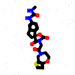 CNC(=O)Nc1ccc2c(c1)CC[C@]21OC(=O)N(CC(=O)N2CCOc3ccsc3C2)C1=O